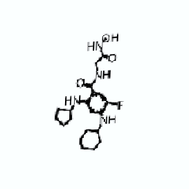 O=C(CNC(=O)c1cc(F)c(NC2CCCCC2)cc1NC1CCCC1)NO